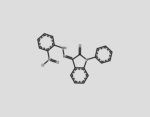 O=C1C(=NNc2ccccc2[N+](=O)[O-])c2ccccc2N1c1ccccc1